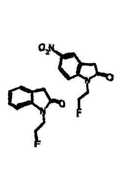 O=C1Cc2cc([N+](=O)[O-])ccc2N1CCF.O=C1Cc2ccccc2N1CCF